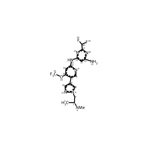 CN[C@@H](C)Cn1cc(-c2cnc(Nc3cc(N)nc(C(F)F)n3)cc2OC(F)(F)F)cn1